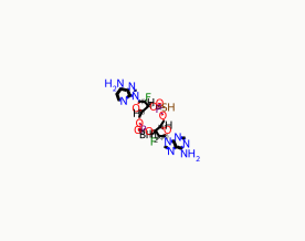 B[P@]1(=O)OC[C@H]2OC(n3cnc4c(N)ccnc43)[C@H](F)[C@@H]2O[P@@](=O)(S)OC[C@H]2O[C@@H](n3cnc4c(N)ncnc43)[C@H](F)[C@@H]2O1